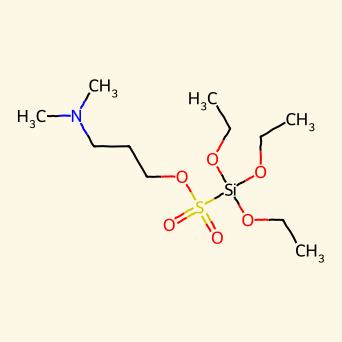 CCO[Si](OCC)(OCC)S(=O)(=O)OCCCN(C)C